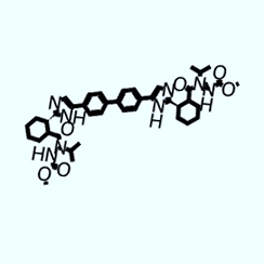 COC(=O)NN(C(=O)C1CCCC[C@@H]1c1ncc(-c2ccc(-c3ccc(-c4cnc([C@@H]5CCCCC5C(=O)N(NC(=O)OC)C(C)C)[nH]4)cc3)cc2)[nH]1)C(C)C